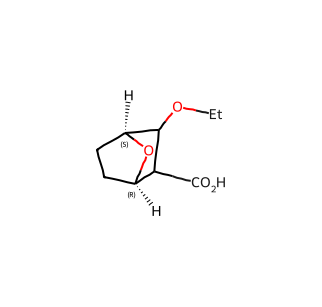 CCOC1C(C(=O)O)[C@H]2CC[C@@H]1O2